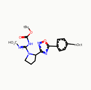 CCCCCCCCc1ccc(-c2nc(C3CCCN3/C(=N/C(=O)O)NC(=O)OC(C)(C)C)no2)cc1